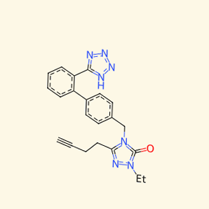 C#CCCc1nn(CC)c(=O)n1Cc1ccc(-c2ccccc2-c2nnn[nH]2)cc1